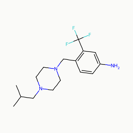 CC(C)CN1CCN(Cc2ccc(N)cc2C(F)(F)F)CC1